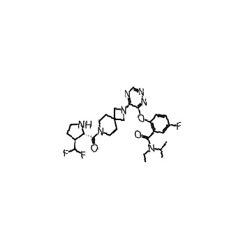 CCN(C(=O)c1cc(F)ccc1Oc1nncnc1N1CC2(CCN(C(=O)[C@H]3NCC[C@@H]3C(F)F)CC2)C1)C(C)C